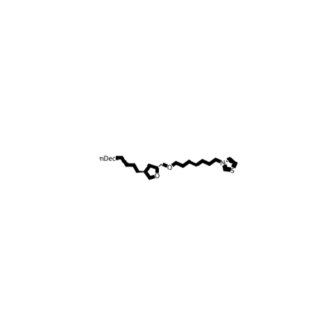 CCCCCCCCCCCCCC[C@@H]1CO[C@@H](COCCCCCCC[n+]2ccsc2)C1